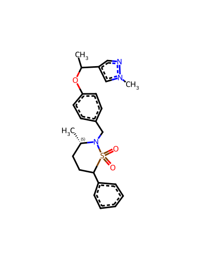 CC(Oc1ccc(CN2[C@@H](C)CCC(c3ccccc3)S2(=O)=O)cc1)c1cnn(C)c1